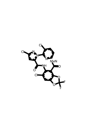 CNC(=O)c1c(NC(=O)c2cc(Cl)nn2-c2ncccc2Cl)c(Cl)cc2c1OC(F)(F)O2